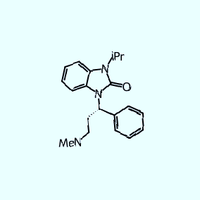 CNCC[C@@H](c1ccccc1)n1c(=O)n(C(C)C)c2ccccc21